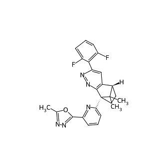 Cc1nnc(-c2cccc([C@]34CC[C@@H](c5cc(-c6c(F)cccc6F)nnc53)C4(C)C)n2)o1